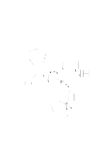 Cl.O=C1c2ccccc2C(=O)N1CC1(c2ccsn2)[C@@H]2CNC[C@@H]21